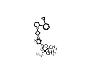 CC1(C)OB(c2cnn(C3CC(N4CCCC4c4ccccc4C4CC4)C3)c2)OC1(C)C